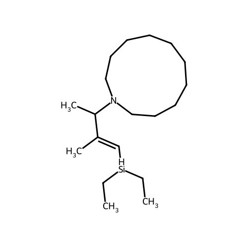 CC[SiH](C=C(C)C(C)N1CCCCCCCCCC1)CC